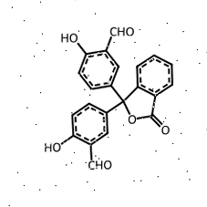 O=Cc1cc(C2(c3ccc(O)c(C=O)c3)OC(=O)c3ccccc32)ccc1O